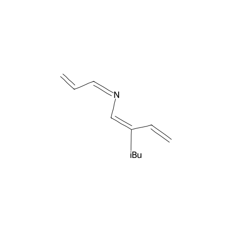 C=C/C=N\C=C(/C=C)C(C)CC